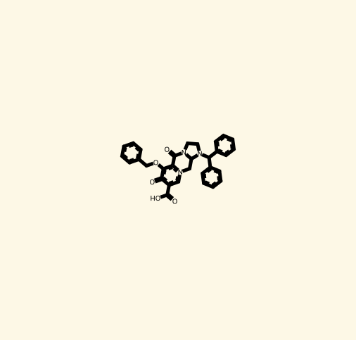 O=C(O)c1cn2c(c(OCc3ccccc3)c1=O)C(=O)N1CCN(C(c3ccccc3)c3ccccc3)C1C2